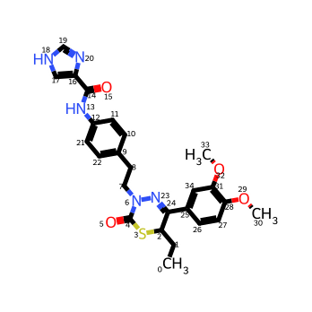 CCC1SC(=O)N(CCc2ccc(NC(=O)c3c[nH]cn3)cc2)N=C1c1ccc(OC)c(OC)c1